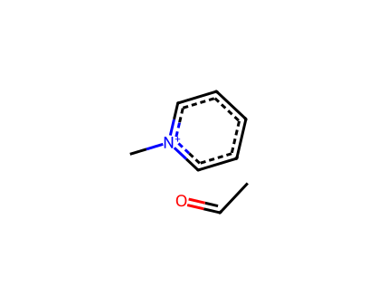 CC=O.C[n+]1ccccc1